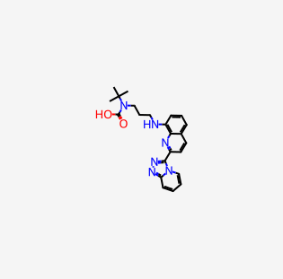 CC(C)(C)N(CCCNc1cccc2ccc(-c3nnc4ccccn34)nc12)C(=O)O